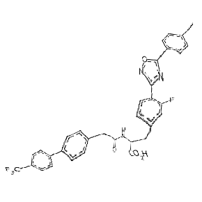 Cc1ccc(-c2nc(-c3ccc(CC(NC(=O)Cc4ccc(-c5ccc(C(F)(F)F)cc5)cc4)C(=O)O)cc3F)no2)cc1